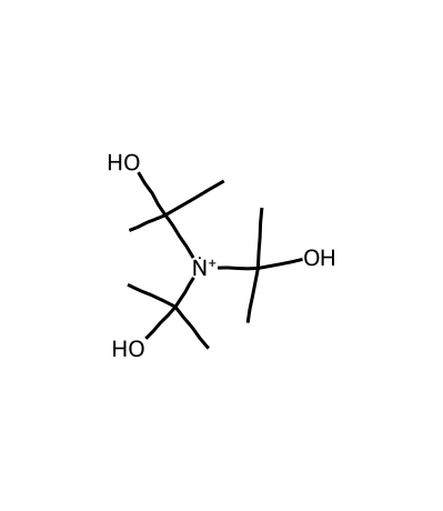 CC(C)(O)[N+](C(C)(C)O)C(C)(C)O